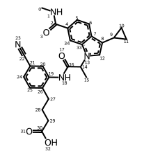 CNC(=O)c1ccc2c(C3CC3)cn(C(C)C(=O)Nc3cc(C#N)ccc3CCCC(=O)O)c2c1